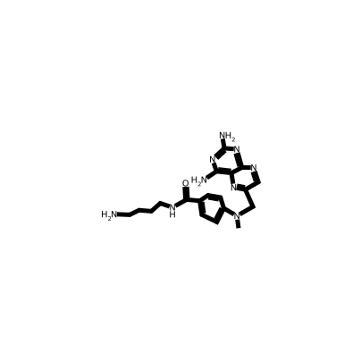 CN(Cc1cnc2nc(N)nc(N)c2n1)c1ccc(C(=O)NCCCCN)cc1